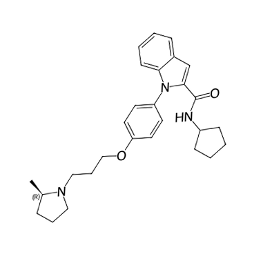 C[C@@H]1CCCN1CCCOc1ccc(-n2c(C(=O)NC3CCCC3)cc3ccccc32)cc1